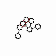 c1ccc(-c2cccc(N(c3ccccc3)c3cccc(-c4ccccc4)c3-c3ccccc3-c3ccccc3)c2)cc1